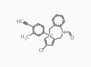 C#Cc1ccc([N+]23C=C(Cl)C=C2CN(C=O)c2ccccc2C3)cc1C